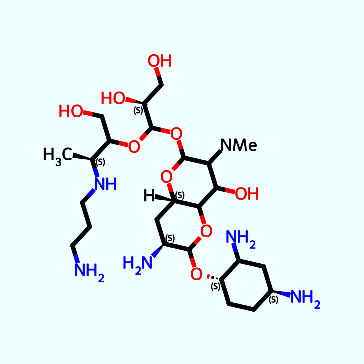 CNC1C(OC(OC(CO)[C@H](C)NCCCN)[C@@H](O)CO)O[C@H]2C[C@H](N)C(O[C@H]3CC[C@H](N)CC3N)OC2C1O